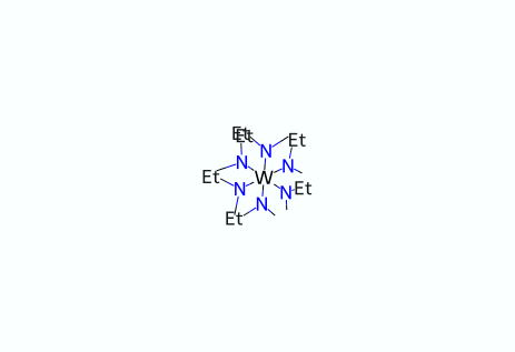 CC[N](C)[W]([N](C)CC)([N](C)CC)([N](C)CC)([N](C)CC)[N](C)CC